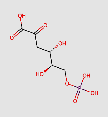 O=C(O)C(=O)C[C@H](O)[C@H](O)COP(=O)(O)O